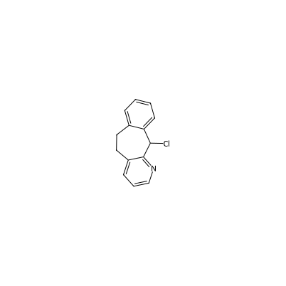 ClC1c2ccccc2CCc2cccnc21